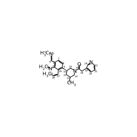 C=Nc1c(/C=N/C)ccc([C@@H]2CC(C)CN(C(=O)Cc3cccnc3)C2)c1/C=C\C